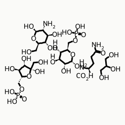 NC(=O)CC[C@H](N)C(=O)O.N[C@@H]1[C@@H](O)[C@H](O)[C@@H](CO)O[C@H]1O.O=P(O)(O)OC[C@H]1O[C@H](O)[C@H](O)[C@@H](O)[C@@H]1O.O=P(O)(O)OC[C@H]1O[C@](O)(CO)[C@@H](O)[C@@H]1O.OCC(O)CO